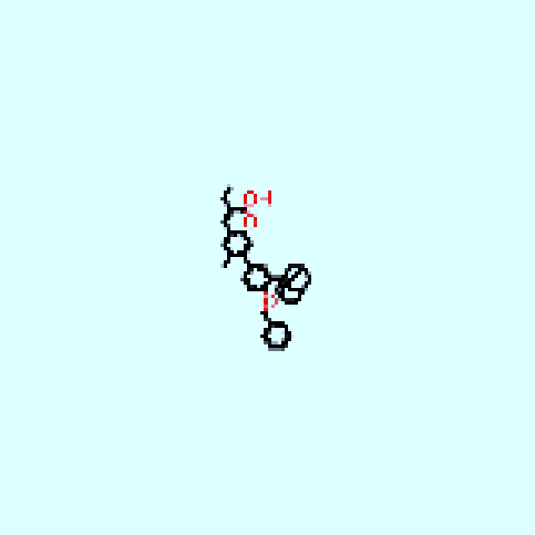 CCC(=Cc1ccc(-c2ccc(OCc3ccccc3)c(C34CC5CC(CC(C5)C3)C4)c2)c(C)c1)C(=O)O